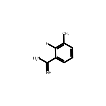 Cc1cccc(C(=N)N)c1F